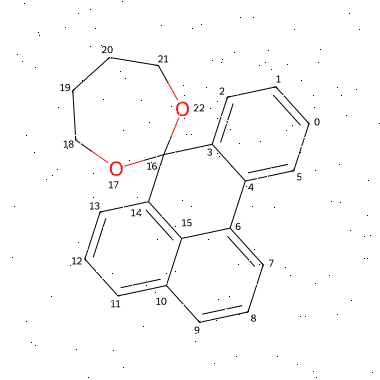 c1ccc2c(c1)-c1cccc3cccc(c13)C21OCCCCO1